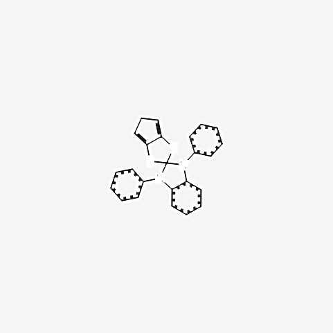 C1=C2SC3(SC2=CC1)N(c1ccccc1)c1ccccc1N3c1ccccc1